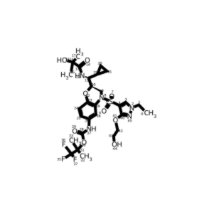 CCn1cc(S(=O)(=O)N2C[C@H]([C@H](NC(=O)C(C)(C)O)C3CC3)Oc3ccc(NC(=O)OC(C)(C)C(F)(F)F)cc32)c(OCCO)n1